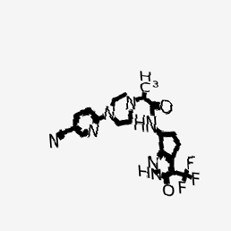 CC(C(=O)NC1CCc2c1n[nH]c(=O)c2C(F)(F)F)N1CCN(c2ccc(C#N)cn2)CC1